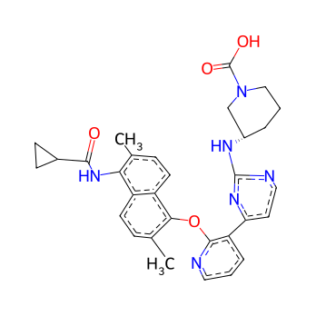 Cc1ccc2c(Oc3ncccc3-c3ccnc(N[C@H]4CCCN(C(=O)O)C4)n3)c(C)ccc2c1NC(=O)C1CC1